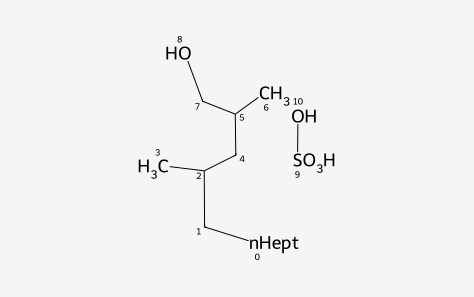 CCCCCCCCC(C)CC(C)CO.O=S(=O)(O)O